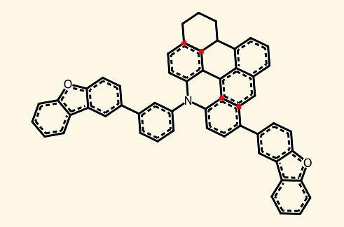 c1cc(-c2ccc3oc4ccccc4c3c2)cc(N(c2ccc(-c3ccc4oc5ccccc5c4c3)cc2)c2ccccc2-c2cccc3cccc(C4CCCCC4)c23)c1